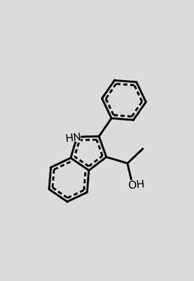 CC(O)c1c(-c2ccccc2)[nH]c2ccccc12